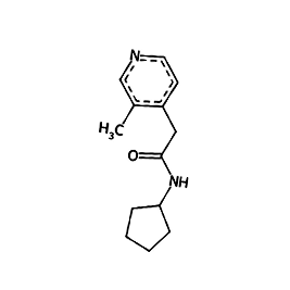 Cc1cnccc1CC(=O)NC1CCCC1